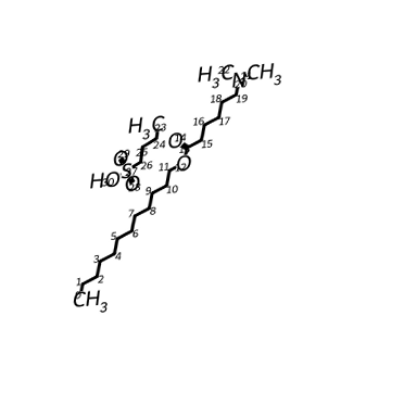 CCCCCCCCCCCCOC(=O)CCCCCN(C)C.CCCCS(=O)(=O)O